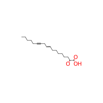 CCCCCC#CCC=CCCCCCCC(=O)C(=O)O